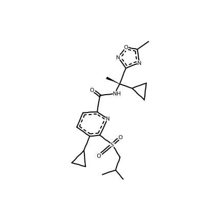 Cc1nc([C@@](C)(NC(=O)c2ccc(C3CC3)c(S(=O)(=O)CC(C)C)n2)C2CC2)no1